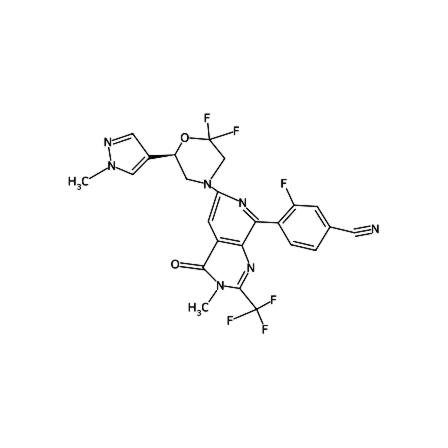 Cn1cc([C@@H]2CN(c3cc4c(=O)n(C)c(C(F)(F)F)nc4c(-c4ccc(C#N)cc4F)n3)CC(F)(F)O2)cn1